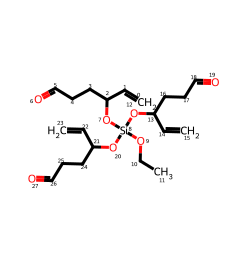 C=CC(CCC=O)O[Si](OCC)(OC(C=C)CCC=O)OC(C=C)CCC=O